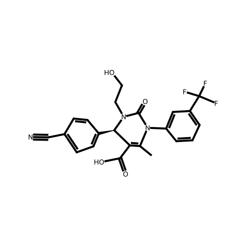 CC1=C(C(=O)O)[C@@H](c2ccc(C#N)cc2)N(CCO)C(=O)N1c1cccc(C(F)(F)F)c1